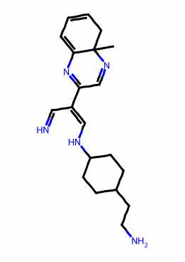 CC12CC=CC=C1N=C(/C(C=N)=C/NC1CCC(CCN)CC1)C=N2